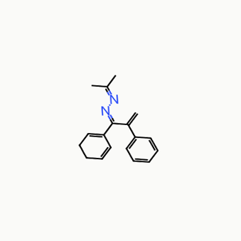 C=C(/C(=N\N=C(C)C)C1=CCCC=C1)c1ccccc1